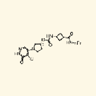 CCCNC(=O)[C@H]1C[C@H](NC(=O)O[C@@H]2CCN(c3cn[nH]c(=O)c3Cl)C2)C1